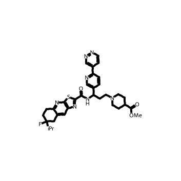 COC(=O)C1CCN(CCC(NC(=O)c2nc3cc4c(nc3s2)CCC(F)(C(C)C)C4)c2ccc(-c3ccnnc3)nc2)CC1